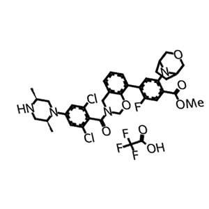 COC(=O)c1cc(F)c(-c2cccc3c2OCN(C(=O)c2c(Cl)cc(N4C[C@H](C)NC[C@@H]4C)cc2Cl)C3)cc1N1C2CCC1COC2.O=C(O)C(F)(F)F